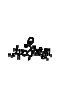 C[C@H](NC(=O)c1nc(C(=O)N2C3CCC2CC3)c(-c2cnc(N[C@@H](C)C(F)(F)F)cc2C(F)F)s1)C(C)(C)O